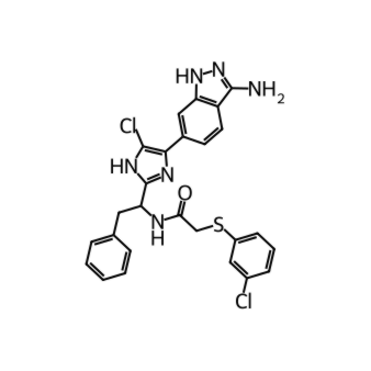 Nc1n[nH]c2cc(-c3nc(C(Cc4ccccc4)NC(=O)CSc4cccc(Cl)c4)[nH]c3Cl)ccc12